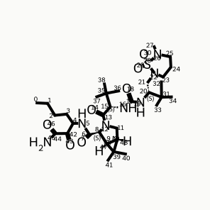 CCCCC(NC(=O)[C@@H]1[C@@H]2[C@H](CN1C(=O)[C@@H](NC(=O)N[C@H](CN1CCCN(C)S1(=O)=O)C(C)(C)C)C(C)(C)C)C2(C)C)C(=O)C(N)=O